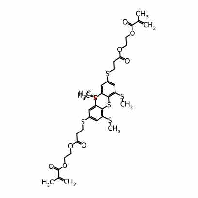 C=C(C)C(=O)OCCOC(=O)CCSc1cc(SC)c(Sc2c(SC)cc(SCCC(=O)OCCOC(=O)C(=C)C)cc2SC)c(SC)c1